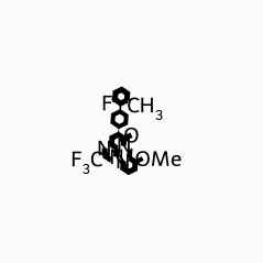 COc1cccnc1Cn1c(=O)c([C@H]2CC[C@H](c3c(C)cccc3F)CC2)cc2nc(C(F)(F)F)cnc21